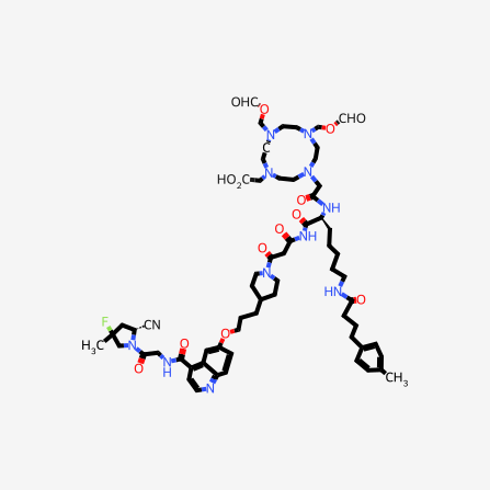 Cc1ccc(CCCC(=O)NCCCCC[C@H](NC(=O)CN2CCN(COC=O)CCN(COC=O)CCN(CC(=O)O)CC2)C(=O)NC(=O)CC(=O)N2CCC(CCCOc3ccc4nccc(C(=O)NCC(=O)N5CC(C)(F)C[C@@H]5C#N)c4c3)CC2)cc1